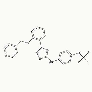 FC(F)(F)Oc1ccc(Nc2nnc(-c3ccccc3SCc3ccncc3)s2)cc1